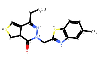 O=C(O)CC1=NN(Cc2nc3cc(C(F)(F)F)ccc3s2)C(=O)C2CSC=C12